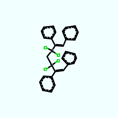 Cl[Si](Cl)(C[Si](Cl)(Cl)C(=Cc1ccccc1)c1ccccc1)C(=Cc1ccccc1)c1ccccc1